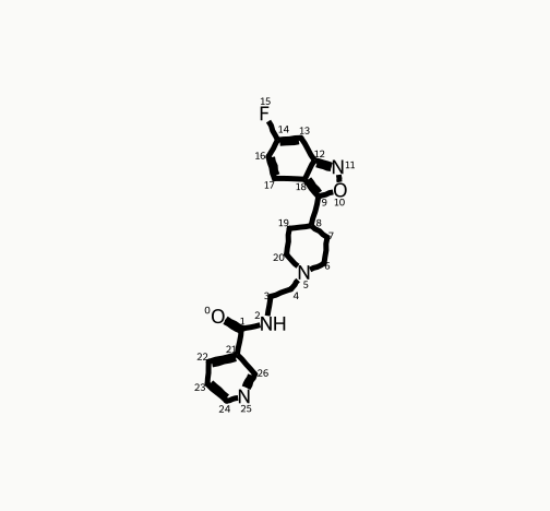 O=C(NCCN1CCC(c2onc3cc(F)ccc23)CC1)c1cccnc1